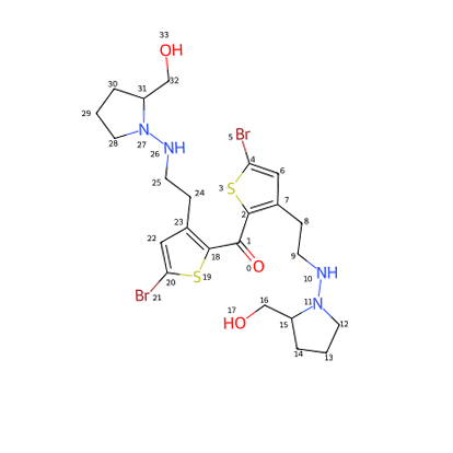 O=C(c1sc(Br)cc1CCNN1CCCC1CO)c1sc(Br)cc1CCNN1CCCC1CO